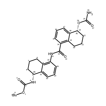 CC(C)(C)OC(=O)N[C@@H]1CCCc2c(NC(=O)c3cccc4c3CCC[C@H]4OC(N)=O)cccc21